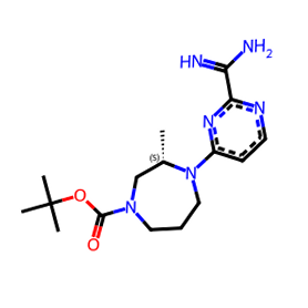 C[C@H]1CN(C(=O)OC(C)(C)C)CCCN1c1ccnc(C(=N)N)n1